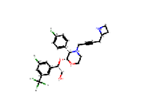 OC[C@@H](O[C@H]1OCCN(CC#CCC2CCN2)[C@H]1c1ccc(F)cc1)c1cc(F)cc(C(F)(F)F)c1